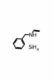 C=CNCc1ccccc1.[SiH4]